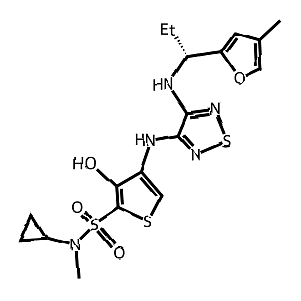 CC[C@@H](Nc1nsnc1Nc1csc(S(=O)(=O)N(C)C2CC2)c1O)c1cc(C)co1